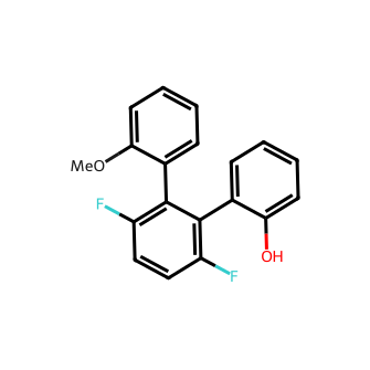 COc1ccccc1-c1c(F)ccc(F)c1-c1ccccc1O